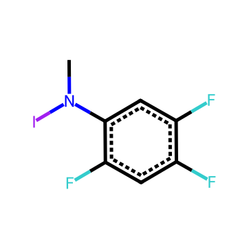 CN(I)c1cc(F)c(F)cc1F